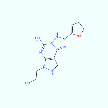 NCCN1NCC2=C1N=C(N)N1NC(C3=CCCO3)N=C21